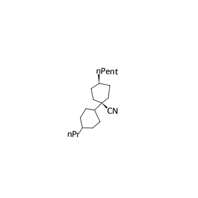 CCCCC[C@H]1CC[C@](C#N)(C2CCC(CCC)CC2)CC1